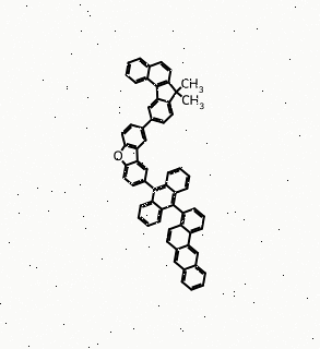 CC1(C)c2ccc(-c3ccc4oc5ccc(-c6c7ccccc7c(-c7cccc8c7ccc7cc9ccccc9cc78)c7ccccc67)cc5c4c3)cc2-c2c1ccc1ccccc21